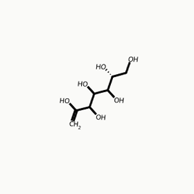 C=C(O)C(O)C(O)C(O)[C@H](O)CO